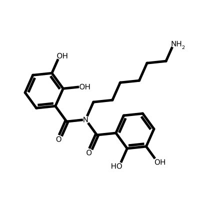 NCCCCCCN(C(=O)c1cccc(O)c1O)C(=O)c1cccc(O)c1O